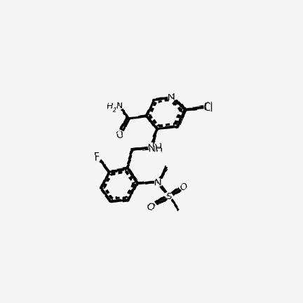 CN(c1cccc(F)c1CNc1cc(Cl)ncc1C(N)=O)S(C)(=O)=O